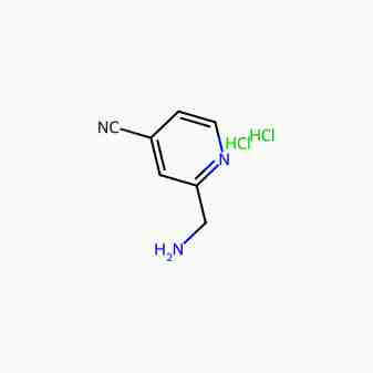 Cl.Cl.N#Cc1ccnc(CN)c1